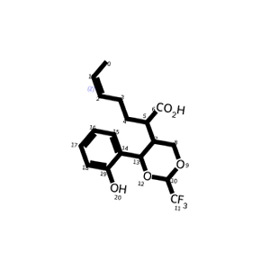 C/C=C\CCC(C(=O)O)C1COC(C(F)(F)F)OC1c1ccccc1O